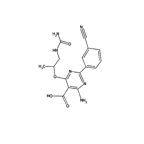 CC(CNC(N)=O)Oc1nc(-c2cccc(C#N)c2)nc(N)c1C(=O)O